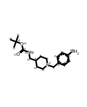 Bc1ccc(CN2CCC(CNC(=O)OC(C)(C)C)CC2)cc1